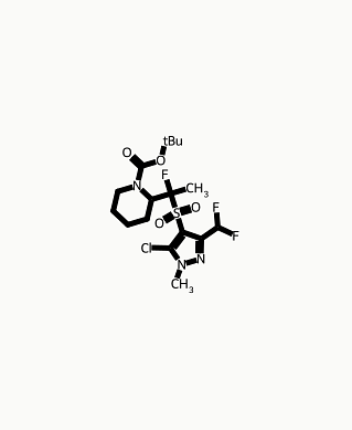 Cn1nc(C(F)F)c(S(=O)(=O)C(C)(F)C2CCCCN2C(=O)OC(C)(C)C)c1Cl